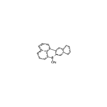 OB1c2cc3ccccc3cc2-c2cccc3cccc1c23